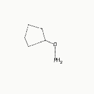 POC1CCCC1